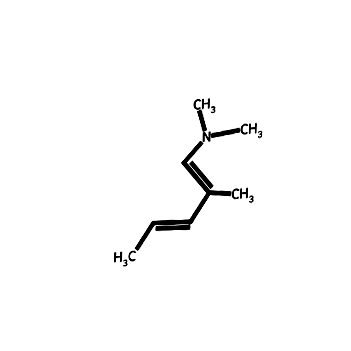 CC=CC(C)=CN(C)C